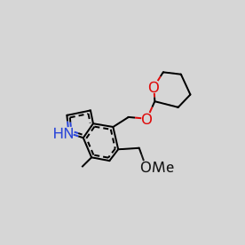 COCc1cc(C)c2[nH]ccc2c1COC1CCCCO1